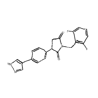 O=C1CN(c2ccc(-c3cn[nH]c3)cc2)C(=O)N1Cc1c(F)cccc1F